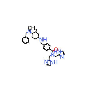 CN(Cc1ccccc1)C1CCC(NCc2ccc(C(=O)N(Cc3ncc[nH]3)Cc3ncc[nH]3)cc2)CC1